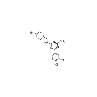 CC(C)N1CCC(CNc2nc(-c3ccc(Cl)c(Cl)c3)nc(C(Cl)(Cl)Cl)n2)CC1